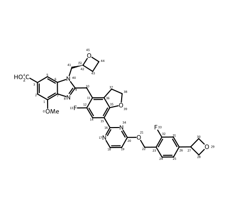 COc1cc(C(=O)O)cc2c1nc(Cc1c(F)cc(-c3nccc(OCc4ccc(C5COC5)cc4F)n3)c3c1CCO3)n2C[C@@H]1CCO1